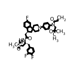 C=CC(=O)N1CC(C)(C)Oc2cc(N3CCC4(CC3)C[C@@H](CC(=O)N[C@H](Cc3ccc(F)c(F)c3)CS(C)(=N)=O)c3ccc(F)cc34)ccc21